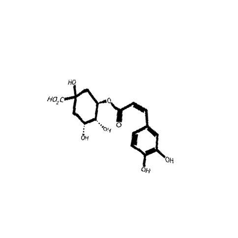 O=C(/C=C\c1ccc(O)c(O)c1)O[C@@H]1CC(O)(C(=O)O)C[C@@H](O)[C@H]1O